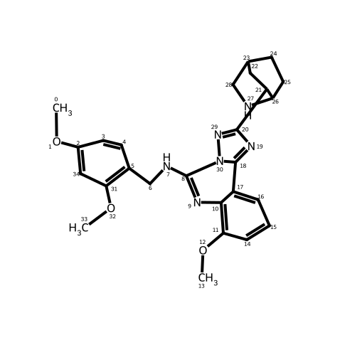 COc1ccc(CNc2nc3c(OC)cccc3c3nc(C4CC5CCC4NC5)nn23)c(OC)c1